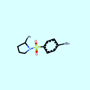 CC(C)C1CCCN1S(=O)(=O)c1ccc(C(C)(C)C)cc1